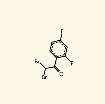 O=C(c1ccc(F)cc1F)C(Br)Br